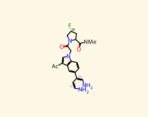 CNC(=O)C1C[C@@H](F)CN1C(=O)Cn1cc(C(C)=O)c2cc(C(/C=C\N)=C/N)ccc21